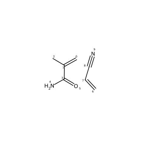 C=C(C)C(N)=O.C=CC#N